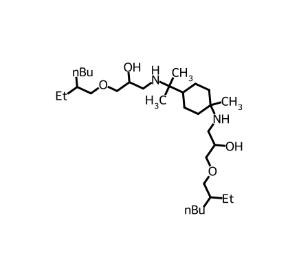 CCCCC(CC)COCC(O)CNC1(C)CCC(C(C)(C)NCC(O)COCC(CC)CCCC)CC1